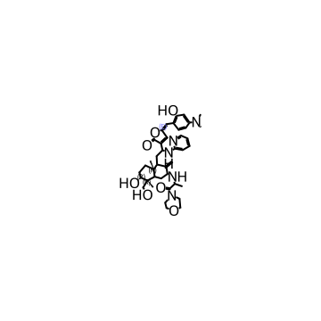 C=C1C(NC(C)C(=O)N2CCOCC2)CC2[C@](C)(CC[C@@H](O)[C@@]2(C)CO)C1CC(Nc1ccccn1)C1=C/C(=C\c2ccc(N(C)C)cc2O)OC1=O